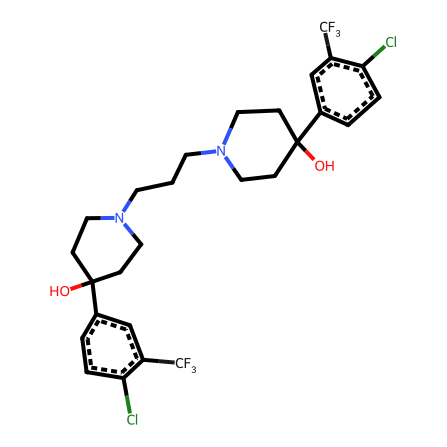 OC1(c2ccc(Cl)c(C(F)(F)F)c2)CCN(CCCN2CCC(O)(c3ccc(Cl)c(C(F)(F)F)c3)CC2)CC1